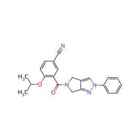 CC(C)Oc1ccc(C#N)cc1C(=O)N1Cc2cn(-c3ccccc3)nc2C1